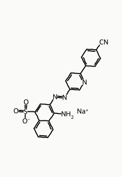 N#Cc1ccc(-c2ccc(N=Nc3cc(S(=O)(=O)[O-])c4ccccc4c3N)cn2)cc1.[Na+]